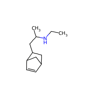 CCNC(C)CC1CC2C=CC1C2